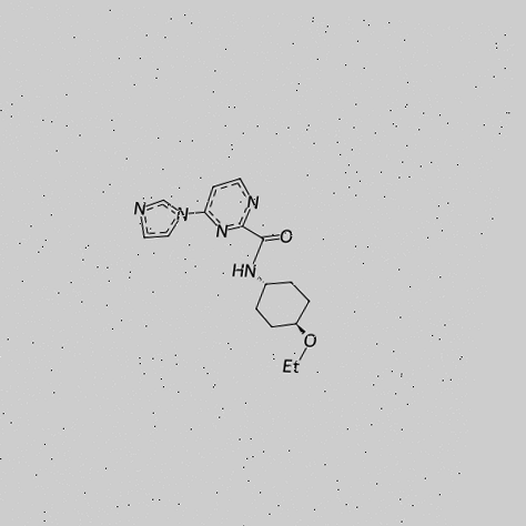 CCO[C@H]1CC[C@H](NC(=O)c2nccc(-n3ccnc3)n2)CC1